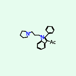 CC(=O)c1c(-c2ccccc2)n(CCCN2CCCCC2)c2ccccc12